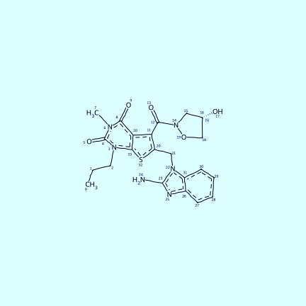 CCCn1c(=O)n(C)c(=O)c2c(C(=O)N3C[C@H](O)CO3)c(Cn3c(N)nc4ccccc43)sc21